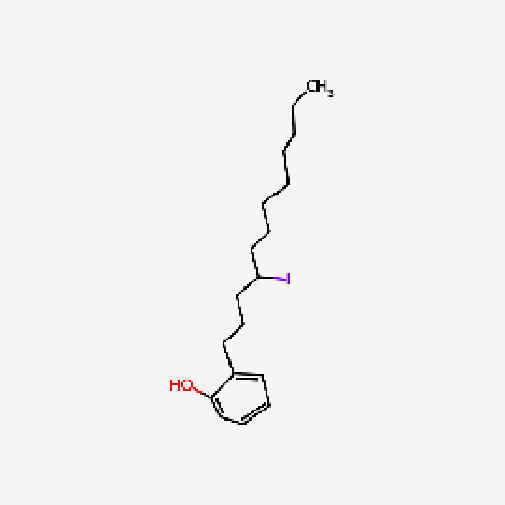 CCCCCCCCC(I)CCCc1ccccc1O